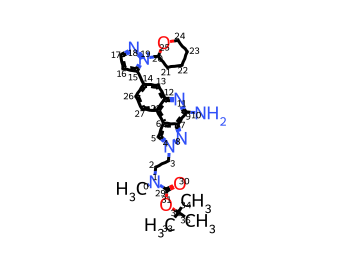 CN(CCn1cc2c(n1)c(N)nc1cc(-c3ccnn3C3CCCCO3)ccc12)C(=O)OC(C)(C)C